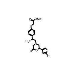 COC(=O)COc1ccc(C(C)CN2CC(=O)OC(c3csc(Cl)n3)C2)cc1